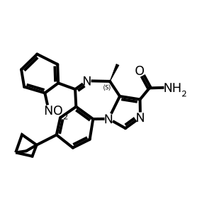 C[C@@H]1N=C(c2ccccc2[N+](=O)[O-])c2cc(C34CC(C3)C4)ccc2-n2cnc(C(N)=O)c21